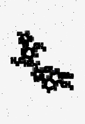 C=Cc1cccc(-n2ncc(CNc3cc(C)c(-n4nccn4)nc3C)c2C(F)(F)F)c1/C=C\NC